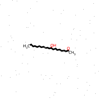 CCCCCCCCCCCC(O)CCCCCCCC(C)=O